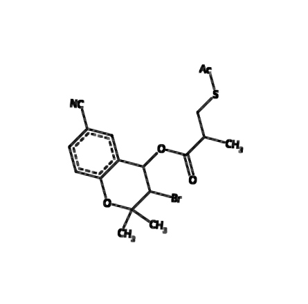 CC(=O)SCC(C)C(=O)OC1c2cc(C#N)ccc2OC(C)(C)C1Br